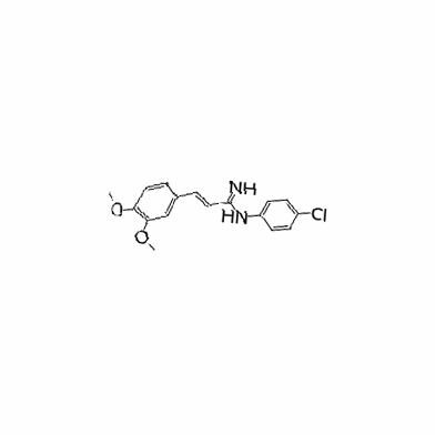 COc1ccc(/C=C/C(=N)Nc2ccc(Cl)cc2)cc1OC